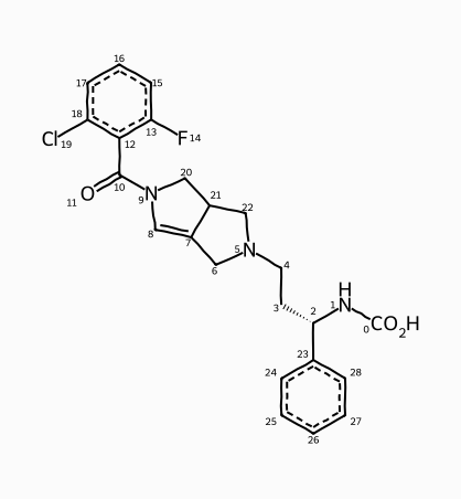 O=C(O)N[C@@H](CCN1CC2=CN(C(=O)c3c(F)cccc3Cl)CC2C1)c1ccccc1